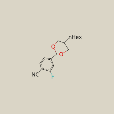 CCCCCCC1COC(c2ccc(C#N)c(F)c2)OC1